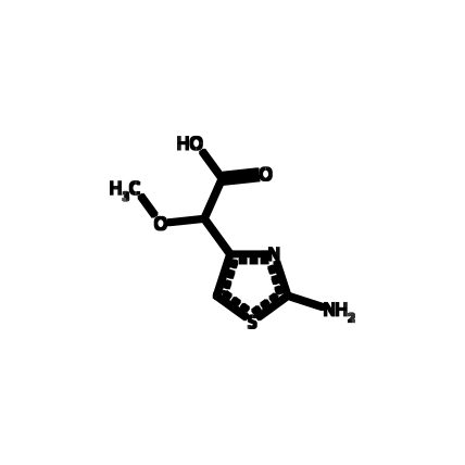 COC(C(=O)O)c1csc(N)n1